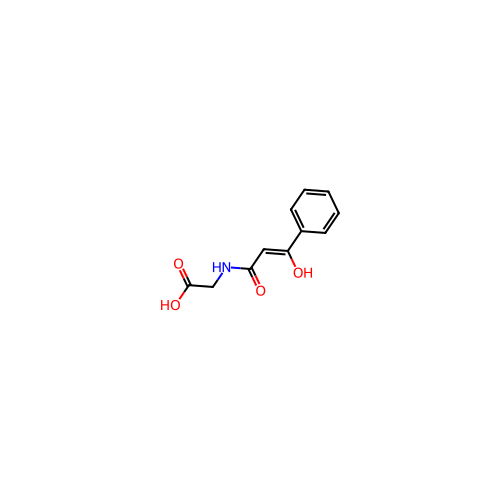 O=C(O)CNC(=O)C=C(O)c1ccccc1